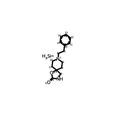 O=C1NCC2(CCN(CCc3ccccc3)CC2)O1.[SiH4]